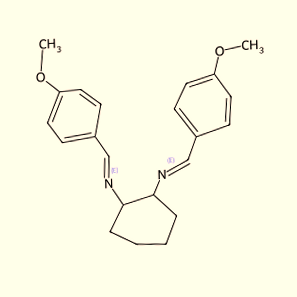 COc1ccc(/C=N/C2CCCCC2/N=C/c2ccc(OC)cc2)cc1